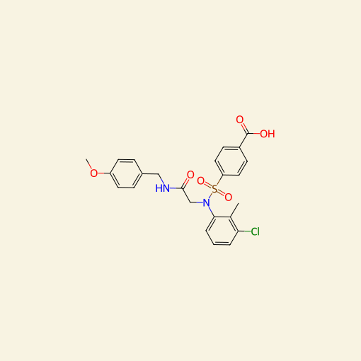 COc1ccc(CNC(=O)CN(c2cccc(Cl)c2C)S(=O)(=O)c2ccc(C(=O)O)cc2)cc1